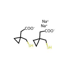 O=C([O-])CC1(CS)CC1.O=C([O-])CC1(CS)CC1.[Na+].[Na+]